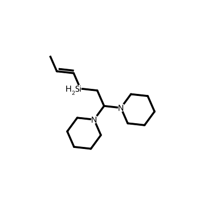 CC=C[SiH2]CC(N1CCCCC1)N1CCCCC1